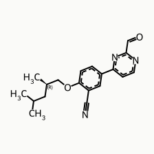 CC(C)C[C@@H](C)COc1ccc(-c2ccnc(C=O)n2)cc1C#N